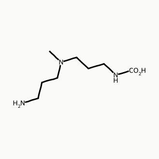 CN(CCCN)CCCNC(=O)O